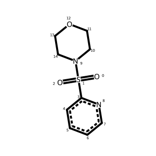 O=S(=O)(c1ccccn1)N1CCOCC1